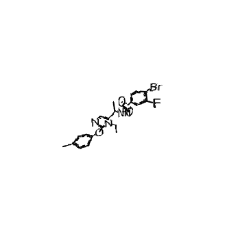 CCn1c(C(C)NS(=O)(=O)c2ccc(Br)c(F)c2)cnc1Oc1ccc(C)cc1